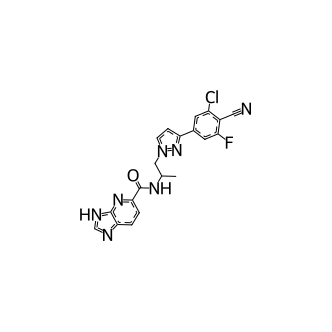 CC(Cn1ccc(-c2cc(F)c(C#N)c(Cl)c2)n1)NC(=O)c1ccc2nc[nH]c2n1